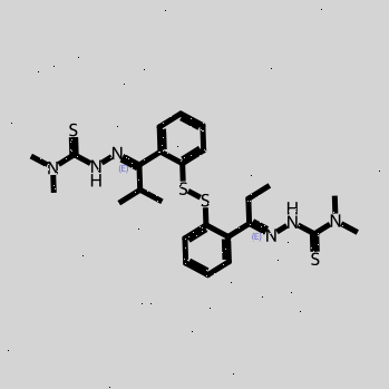 CC/C(=N\NC(=S)N(C)C)c1ccccc1SSc1ccccc1/C(=N/NC(=S)N(C)C)C(C)C